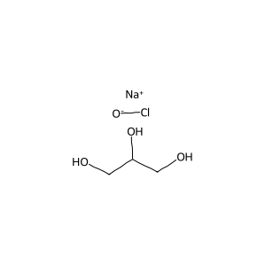 OCC(O)CO.[Na+].[O-]Cl